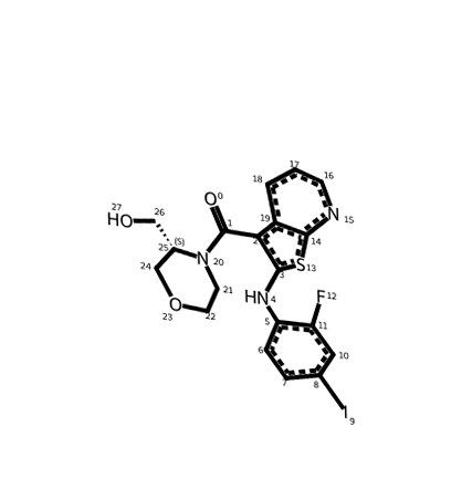 O=C(c1c(Nc2ccc(I)cc2F)sc2ncccc12)N1CCOC[C@@H]1CO